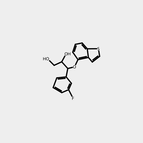 OCC(O)C(Oc1cccc2sccc12)c1cccc(F)c1